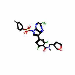 Cc1ccc(S(=O)(=O)n2cc(-c3cc(F)c(C(=O)N(C)CC4CCOC4)c(F)c3)c3nc(Br)cnc32)cc1